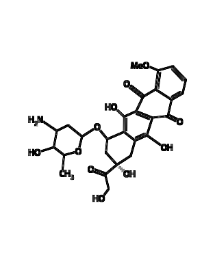 COc1cccc2c1C(=O)c1c(O)c3c(c(O)c1C2=O)C[C@@](O)(C(=O)CO)CC3OC1CC(N)C(O)C(C)O1